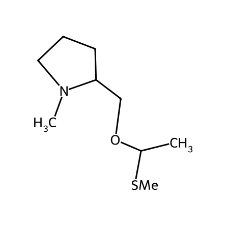 CSC(C)OCC1CCCN1C